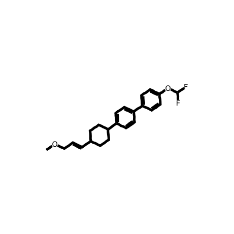 COCC=CC1CCC(c2ccc(-c3ccc(OC(F)F)cc3)cc2)CC1